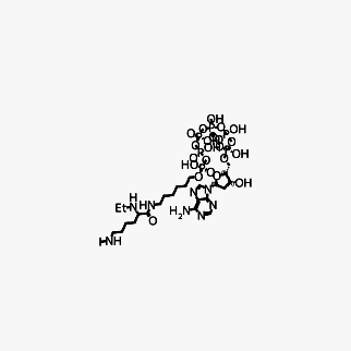 CCNC(CCCCNI)C(=O)NCCCCCCOP(=O)(O)OP(=O)(O)OP(=O)(O)OP(=O)(O)OP(=O)(O)OP(=O)(O)OC[C@H]1O[C@@H](n2cnc3c(N)ncnc32)C[C@H]1O